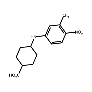 O=C(O)C1CCC(Nc2ccc([N+](=O)[O-])c(C(F)(F)F)c2)CC1